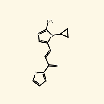 Cc1ncc(/C=C/C(=O)c2nccs2)n1C1CC1